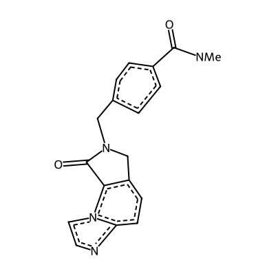 CNC(=O)c1ccc(CN2Cc3ccc4nccn4c3C2=O)cc1